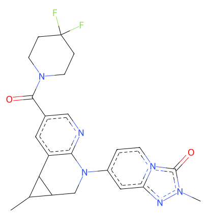 CC1C2CN(c3ccn4c(=O)n(C)nc4c3)c3ncc(C(=O)N4CCC(F)(F)CC4)cc3C12